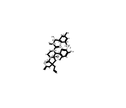 C=CCC1(CC=C)C[C@H]2C(c3ccc(F)cc3C)N(C(=O)N(C)[C@H](C)c3cc(C)cc(C(F)(F)F)c3)CCN2C1=O